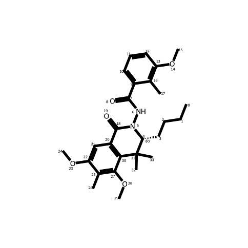 CCCC[C@H]1N(NC(=O)c2cccc(OC)c2C)C(=O)c2cc(OC)c(C)c(OC)c2C1(C)C